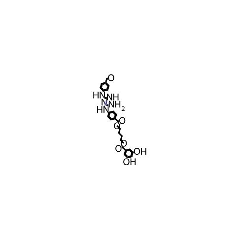 N=C(/N=C(\N)Nc1ccc(C(=O)OCCCCOC(=O)c2cc(O)cc(O)c2)cc1)Nc1ccc(C=O)cc1